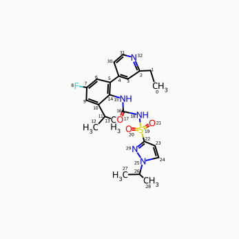 CCc1cc(-c2cc(F)cc(C(C)C)c2NC(=O)NS(=O)(=O)c2ccn(C(C)C)n2)ccn1